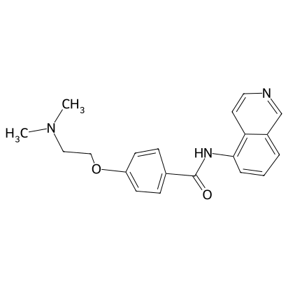 CN(C)CCOc1ccc(C(=O)Nc2cccc3cnccc23)cc1